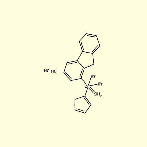 C[CH](C)[Zr](=[SiH2])([C]1=CC=CC1)([c]1cccc2c1Cc1ccccc1-2)[CH](C)C.Cl.Cl